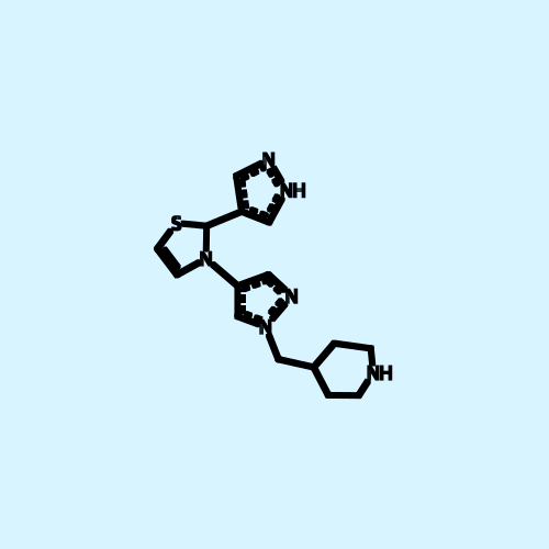 C1=CN(c2cnn(CC3CCNCC3)c2)C(c2cn[nH]c2)S1